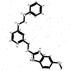 COc1ccc2[nH]c(SCc3cc(OCOc4ccccc4)ccn3)nc2c1